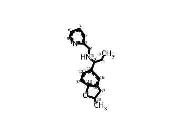 CCC(NCc1ccccn1)c1ccc2c(c1)CC(C)O2